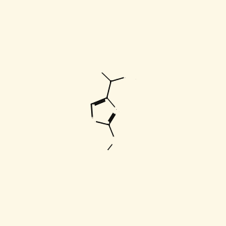 COc1nc(C(C)C)co1